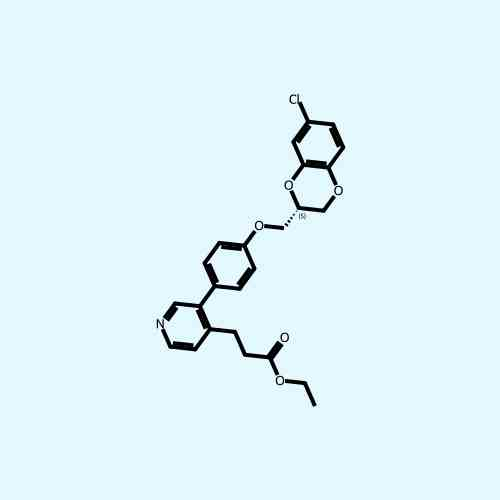 CCOC(=O)CCc1ccncc1-c1ccc(OC[C@H]2COc3ccc(Cl)cc3O2)cc1